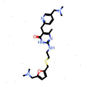 Cc1nc(NCCSCc2ccc(CN(C)C)o2)[nH]c(=O)c1Cc1ccc(CN(C)C)cn1